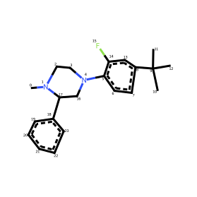 CN1CCN(c2ccc(C(C)(C)C)cc2F)CC1c1ccccc1